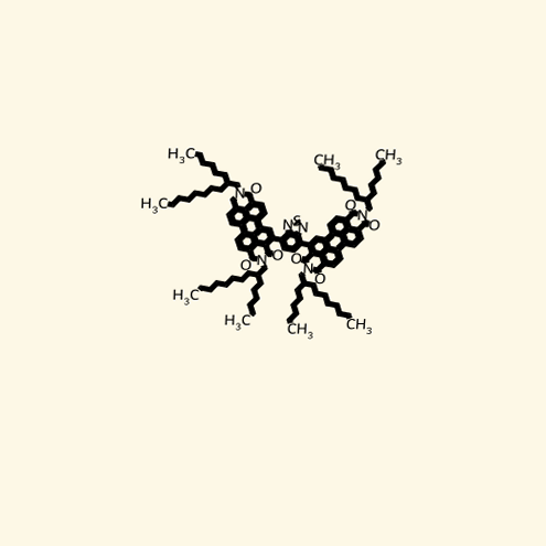 CCCCCCCCC(CCCCCC)CN1Cc2ccc3c4ccc5c6c(c(-c7ccc(-c8cc9c%10ccc%11c%12c(ccc(c%13ccc%14c(c8C(=O)N(CC(CCCCCC)CCCCCCCC)C%14=O)c%139)c%12%10)C(=O)N(CC(CCCCCC)CCCCCCCC)C%11=O)c8nsnc78)cc(c7ccc(c2c37)C1=O)c64)C(=O)N(CC(CCCCCC)CCCCCCCC)C5=O